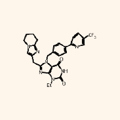 CCn1c(=O)[nH]c(=O)c2c1nc(Cc1cn3c(n1)CCCC3)n2Cc1ccc(-c2ccc(C(F)(F)F)cn2)cc1